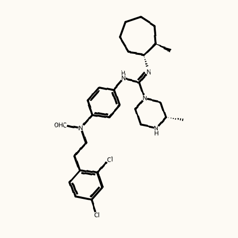 C[C@@H]1CCCCC[C@H]1/N=C(\Nc1ccc(N(C=O)CCc2ccc(Cl)cc2Cl)cc1)N1CCN[C@@H](C)C1